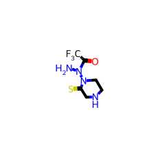 NN(C(=O)C(F)(F)F)N1CCNCC1=S